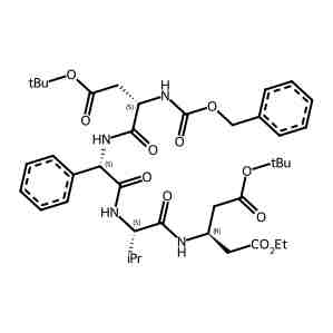 CCOC(=O)C[C@H](CC(=O)OC(C)(C)C)NC(=O)[C@@H](NC(=O)[C@@H](NC(=O)[C@H](CC(=O)OC(C)(C)C)NC(=O)OCc1ccccc1)c1ccccc1)C(C)C